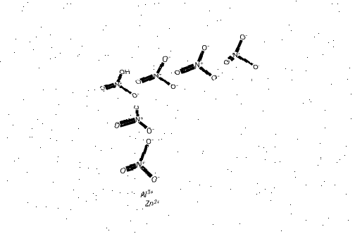 O=[N+]([O-])O.O=[N+]([O-])[O-].O=[N+]([O-])[O-].O=[N+]([O-])[O-].O=[N+]([O-])[O-].O=[N+]([O-])[O-].[Al+3].[Zn+2]